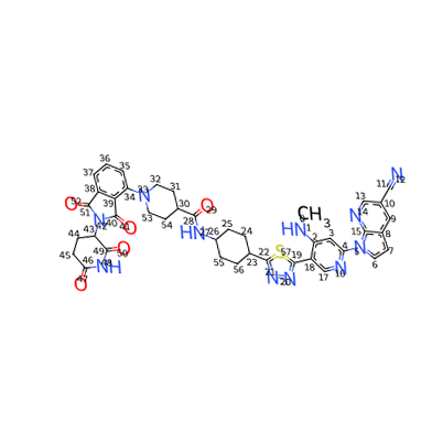 CNc1cc(-n2ccc3cc(C#N)cnc32)ncc1-c1nnc(C2CCC(NC(=O)C3CCN(c4cccc5c4C(=O)N(C4CCC(=O)NC4=O)C5=O)CC3)CC2)s1